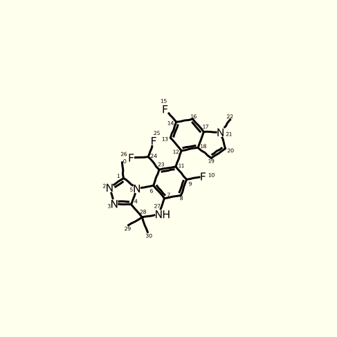 Cc1nnc2n1-c1c(cc(F)c(-c3cc(F)cc4c3ccn4C)c1C(F)F)NC2(C)C